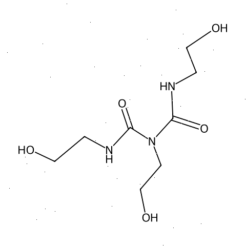 O=C(NCCO)N(CCO)C(=O)NCCO